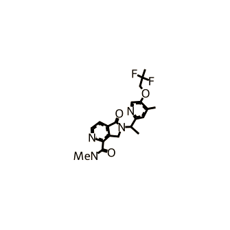 CNC(=O)c1nccc2c1CN(C(C)c1cc(C)c(OCC(C)(F)F)cn1)C2=O